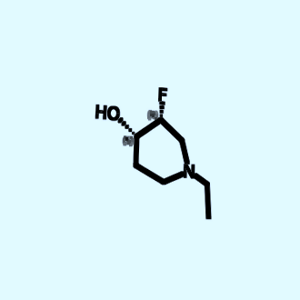 CCN1CC[C@H](O)[C@H](F)C1